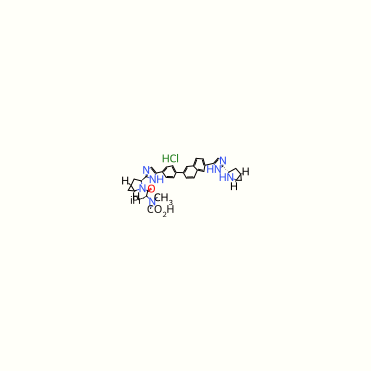 CC(C)[C@@H](C(=O)N1[C@@H]2C[C@@H]2C[C@H]1c1ncc(-c2ccc(-c3ccc4cc(-c5cnc([C@@H]6C[C@H]7C[C@H]7N6)[nH]5)ccc4c3)cc2)[nH]1)N(C)C(=O)O.Cl